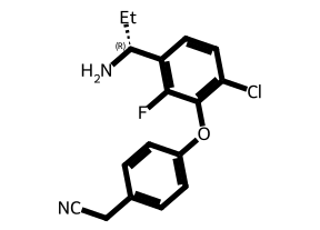 CC[C@@H](N)c1ccc(Cl)c(Oc2ccc(CC#N)cc2)c1F